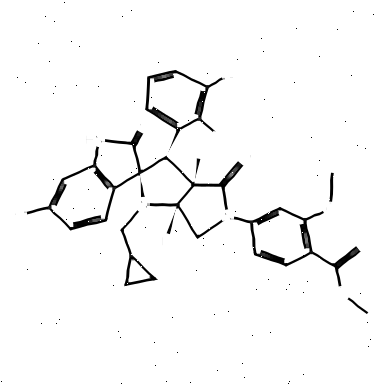 COC(=O)c1ccc(N2C[C@H]3[C@@H](C2=O)[C@H](c2cccc(Br)c2F)[C@]2(C(=O)Nc4cc(Cl)ccc42)N3CC2CC2)cc1OC